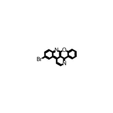 Brc1ccc2nc3c4c(nccc4c2c1)-c1ccccc1O3